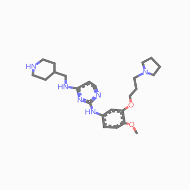 COc1ccc(Nc2nccc(NCC3CCNCC3)n2)cc1OCCCN1CCCC1